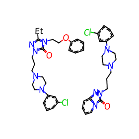 CCc1nn(CCCN2CCN(c3cccc(Cl)c3)CC2)c(=O)n1CCOc1ccccc1.O=c1n(CCCN2CCN(c3cccc(Cl)c3)CC2)nc2ccccn12